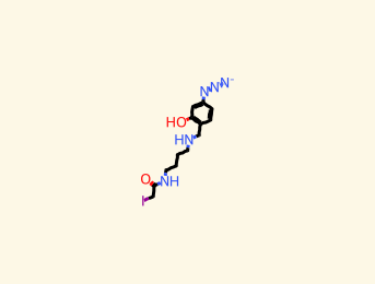 [N-]=[N+]=Nc1ccc(CNCCCCNC(=O)CI)c(O)c1